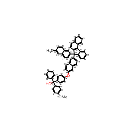 COc1ccc(C(O)(c2ccccc2)c2ccc(Oc3ccc4cc(C5(c6ccc7cc(C)ccc7c6)c6ccccc6-c6c5ccc5ccccc65)ccc4c3)cc2)cc1